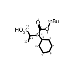 CCCCOC(=O)N(C1CCCCC1)C(C)C(=O)O